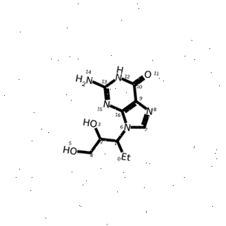 CCC(C(O)CO)n1cnc2c(=O)[nH]c(N)nc21